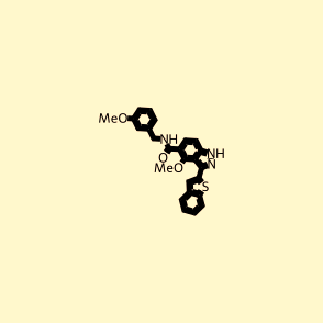 COc1cccc(CNC(=O)c2ccc3[nH]nc(-c4cc5ccccc5s4)c3c2OC)c1